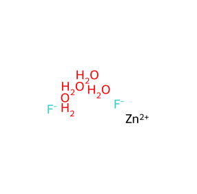 O.O.O.O.[F-].[F-].[Zn+2]